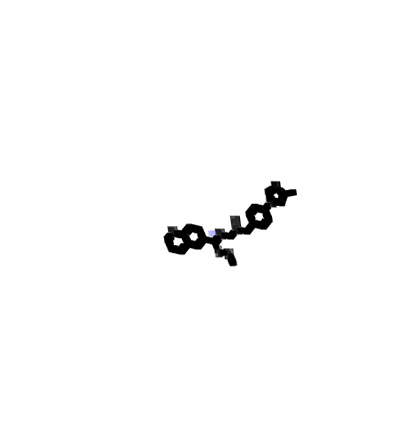 C=NS/C(=N\CNCc1ccc(-n2cnc(C)c2)cc1)c1ccc2ncccc2c1